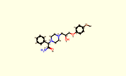 CSc1ccc(OCC(O)CN2CCN(C(C(N)=O)c3ccccc3)CC2)cc1